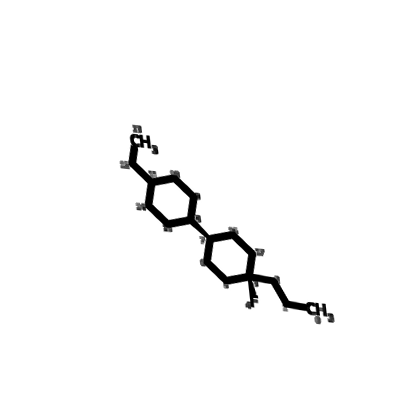 CCC[C@]1(F)CC[C@@H](C2CCC(CC)CC2)CC1